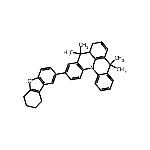 CC1(C)C2=C3C(CC=C2)C(C)(C)c2cc(-c4ccc5oc6c(c5c4)CCCC6)ccc2N3c2ccccc21